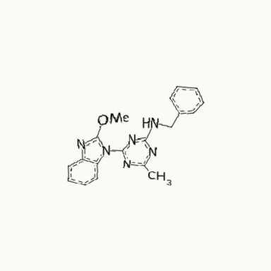 COc1nc2ccccc2n1-c1nc(C)nc(NCc2ccccc2)n1